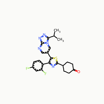 CC(C)c1nnc2ncc(-c3sc(C4CCC(=O)CC4)nc3-c3ccc(F)cc3F)cn12